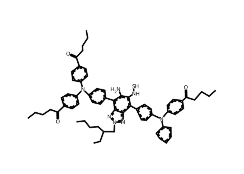 CCCCC(=O)c1ccc(N(c2ccc(C(=O)CCCC)cc2)c2ccc(-c3c(N)c(NS)c(-c4ccc(N(c5ccccc5)c5ccc(C(=O)CCCC)cc5)cc4)c4nn(CC(CC)CCCC)nc34)cc2)cc1